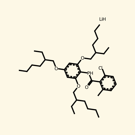 CCCCC(CC)COc1cc(OCC(CC)CCCC)c(PC(=O)c2c(C)cccc2Cl)c(OCC(CC)CCCC)c1.[LiH]